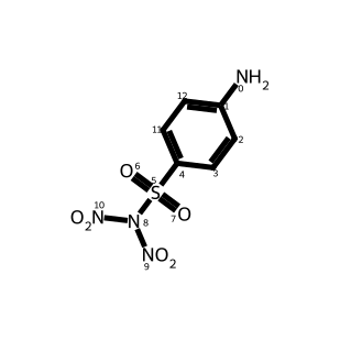 Nc1ccc(S(=O)(=O)N([N+](=O)[O-])[N+](=O)[O-])cc1